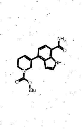 CC(C)(C)OC(=O)N1CCC=C(c2ccc(C(N)=O)c3[nH]ccc23)C1